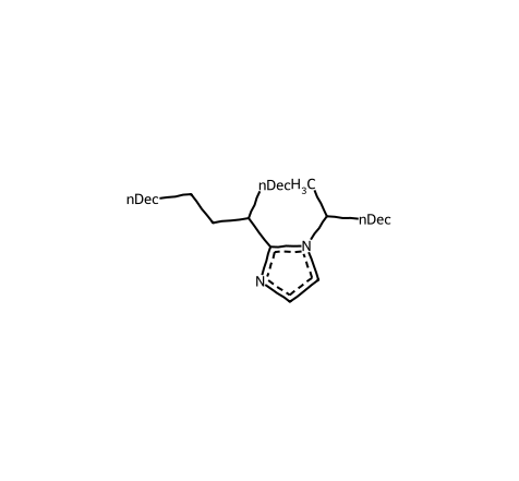 CCCCCCCCCCCCC(CCCCCCCCCC)c1nccn1C(C)CCCCCCCCCC